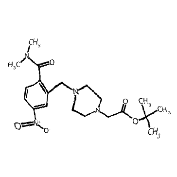 CN(C)C(=O)c1ccc([N+](=O)[O-])cc1CN1CCN(CC(=O)OC(C)(C)C)CC1